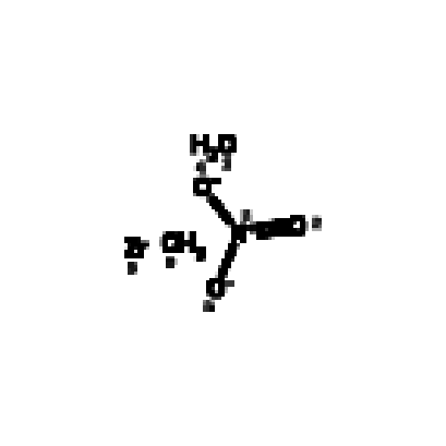 O.O.O=[N+]([O-])[O-].[Zr]